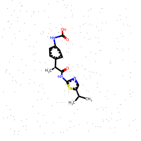 CC(C)c1cnc(NC(=O)[C@@H](C)c2ccc(NC(=O)O)cc2)s1